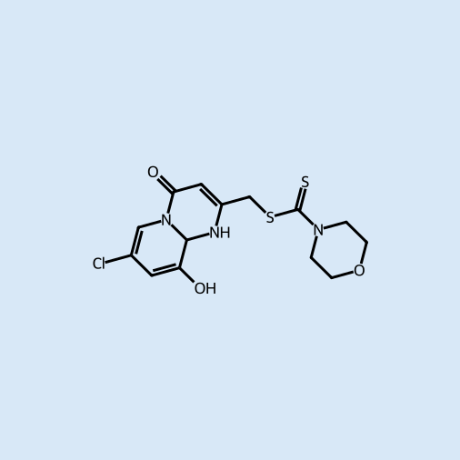 O=C1C=C(CSC(=S)N2CCOCC2)NC2C(O)=CC(Cl)=CN12